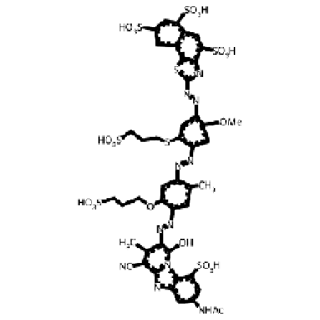 COc1cc(N=Nc2cc(OCCCS(=O)(=O)O)c(N=Nc3c(C)c(C#N)c4nc5cc(NC(C)=O)cc(S(=O)(=O)O)c5n4c3O)cc2C)c(SCCCS(=O)(=O)O)cc1N=Nc1nc2c(S(=O)(=O)O)cc3c(S(=O)(=O)O)cc(S(=O)(=O)O)cc3c2s1